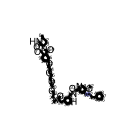 C=C1CCC(N2C(=O)c3ccc(OCCOCCOCCOCCN(C)C(=O)Cc4cccc(CNC(=O)c5cc(/C=C/Cc6ccccc6)c(OC)cn5)c4)cc3C2=O)C(=O)N1